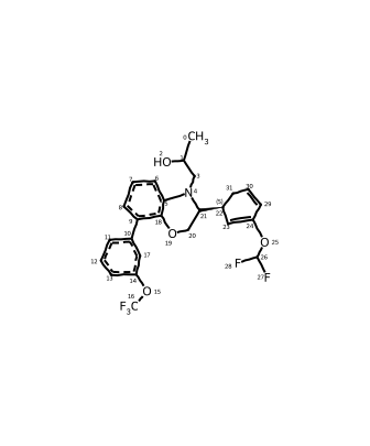 CC(O)CN1c2cccc(-c3cccc(OC(F)(F)F)c3)c2OCC1[C@@H]1C=C(OC(F)F)C=CC1